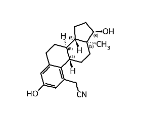 C[C@]12CC[C@@H]3c4c(CC#N)cc(O)cc4CC[C@H]3[C@@H]1CC[C@H]2O